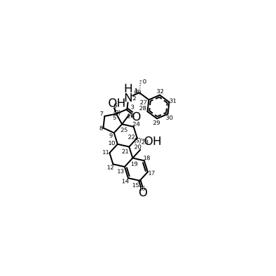 C[C@@H](NC(=O)[C@@]1(O)CCC2C3CCC4=CC(=O)C=CC4(C)C3[C@@H](O)CC21C)c1ccccc1